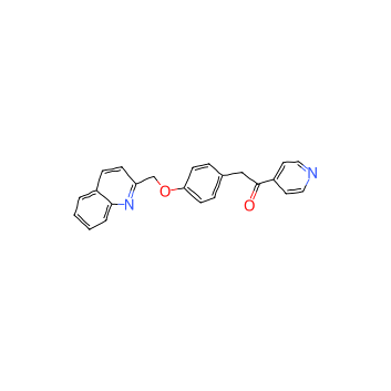 O=C(Cc1ccc(OCc2ccc3ccccc3n2)cc1)c1ccncc1